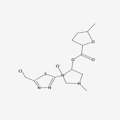 CC1CCC(C(=O)OC2CN(C)C[N+]2([O-])c2nnc(CCl)s2)O1